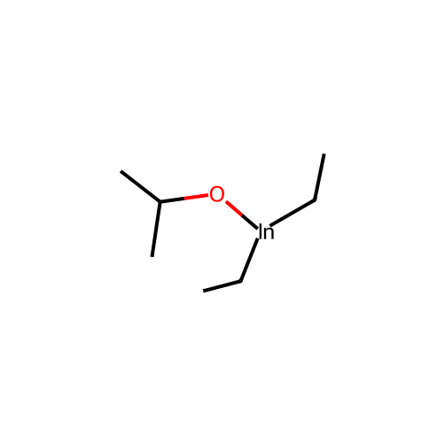 C[CH2][In]([CH2]C)[O]C(C)C